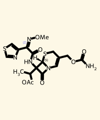 CO/N=C(\C(=O)NC1(C(C)OC(C)=O)C(=O)N2C=C(COC(N)=O)CS[C@H]21)c1cscn1